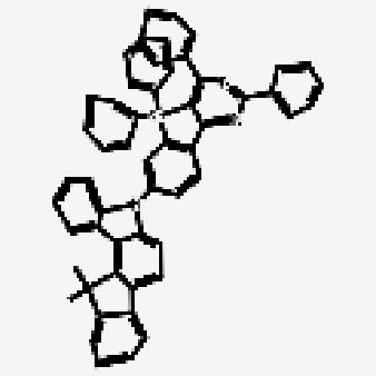 CC1(C)c2ccccc2-c2ccc3c(c21)c1ccccc1n3-c1ccc2c(c1)[Si](c1ccccc1)(c1ccccc1)c1c(-c3ccccc3)nc(-c3ccccc3)nc1-2